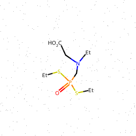 CCSP(=O)(CN(CC)CC(=O)O)SCC